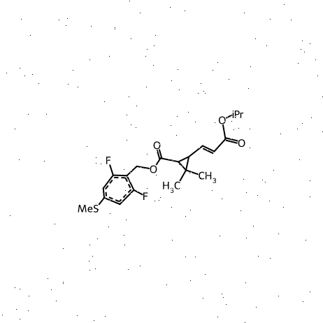 CSc1cc(F)c(COC(=O)C2C(C=CC(=O)OC(C)C)C2(C)C)c(F)c1